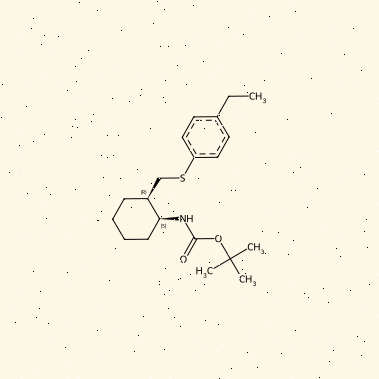 CCc1ccc(SC[C@@H]2CCCC[C@@H]2NC(=O)OC(C)(C)C)cc1